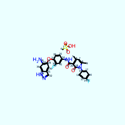 CS(=O)(=O)O.Cc1cc(C)n(-c2ccc(F)cc2)c(=O)c1C(=O)Nc1ccc(Oc2cc3cn[nH]c3cc2N)c(F)c1